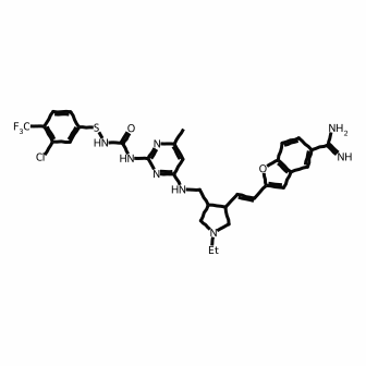 CCN1CC(C=Cc2cc3cc(C(=N)N)ccc3o2)C(CNc2cc(C)nc(NC(=O)NSc3ccc(C(F)(F)F)c(Cl)c3)n2)C1